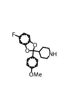 COc1ccc(C2(C3CCNCC3)Oc3ccc(F)cc3O2)cc1